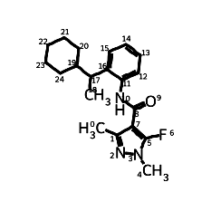 Cc1nn(C)c(F)c1C(=O)Nc1ccccc1C(C)C1CCCCC1